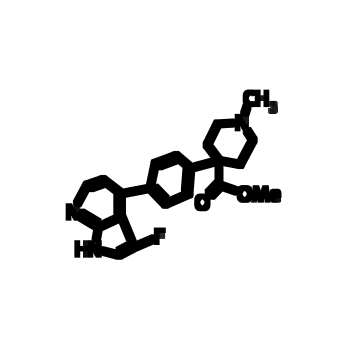 COC(=O)C1(c2ccc(-c3ccnc4[nH]cc(F)c34)cc2)CCN(C)CC1